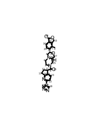 Cc1c([C@@H]2CN3CCN(C(=O)C4CCc5nc(-n6cnnn6)ccc54)C[C@H]3CO2)ccc2c1COC2=O